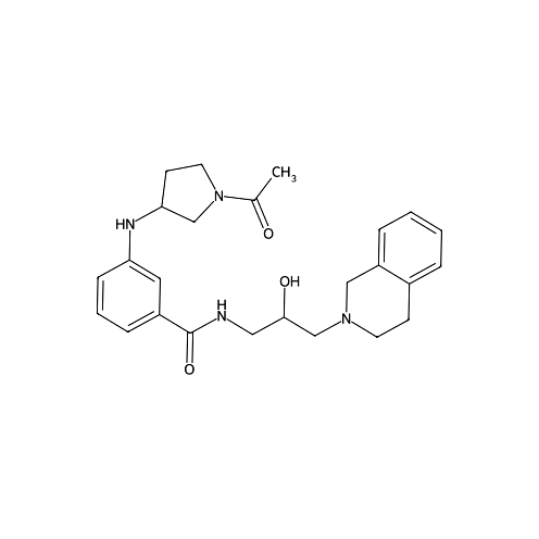 CC(=O)N1CCC(Nc2cccc(C(=O)NCC(O)CN3CCc4ccccc4C3)c2)C1